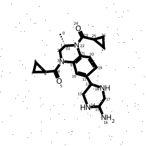 C[C@H]1CN(C(=O)C2CC2)c2cc(C3CNC(N)CN3)ccc2N1C(=O)C1CC1